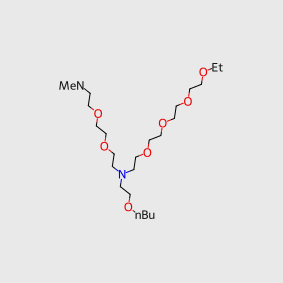 CCCCOCCN(CCOCCOCCNC)CCOCCOCCOCCOCC